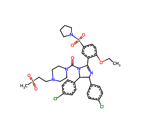 CCOc1ccc(S(=O)(=O)N2CCCC2)cc1C1=NC(c2ccc(Cl)cc2)C(c2ccc(Cl)cc2)N1C(=O)N1CCN(CCS(C)(=O)=O)CC1